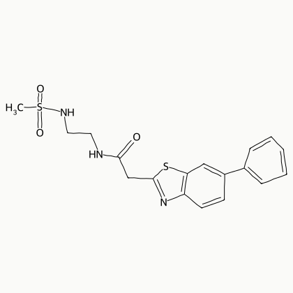 CS(=O)(=O)NCCNC(=O)Cc1nc2ccc(-c3ccccc3)cc2s1